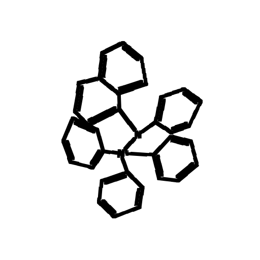 c1ccc(N(c2cccc3ccccc23)[N+](c2ccccc2)(c2ccccc2)c2ccccc2)cc1